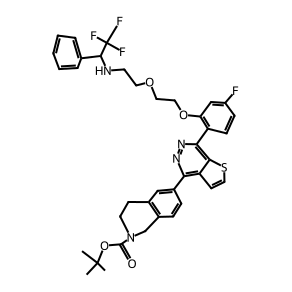 CC(C)(C)OC(=O)N1CCc2cc(-c3nnc(-c4ccc(F)cc4OCCOCCNC(c4ccccc4)C(F)(F)F)c4sccc34)ccc2C1